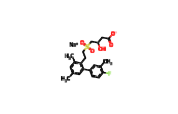 Cc1cc(C)c(CCS(=O)(=O)CC(O)CC(=O)[O-])c(-c2ccc(F)c(C)c2)c1.[Na+]